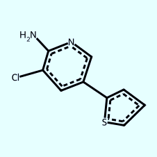 Nc1ncc(-c2cccs2)cc1Cl